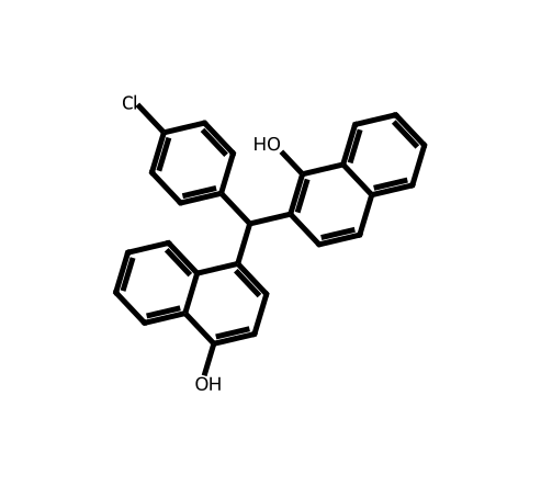 Oc1c(C(c2ccc(Cl)cc2)c2ccc(O)c3ccccc23)ccc2ccccc12